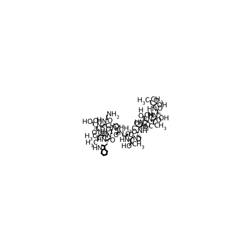 CC[C@H](C)[C@H](NC(=O)[C@H](CC(=O)O)NC(=O)[C@H](C)NC(=O)CN)C(=O)N[C@@H](Cc1c[nH]c2ccccc12)C(=O)NCC(=O)N1CCC[C@H]1C(=O)NCC(=O)N[C@H](C(=O)N1CCC[C@H]1C(=O)N[C@H](C(=O)N[C@H](C(=O)N[C@H](C(=O)N[C@@H](CO)C(=O)N[C@@H](CC(C)C)C(=O)O)C(C)C)[C@@H](C)O)C(C)C)[C@@H](C)O